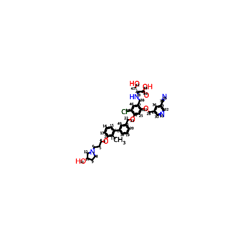 Cc1c(OCCCN2CC[C@@H](O)C2)cccc1-c1cccc(COc2cc(OCc3cncc(C#N)c3)c(CN[C@H](CO)C(=O)O)cc2Cl)c1